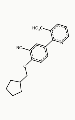 N#Cc1cc(-c2ncccc2C(=O)O)ccc1OCC1CCCC1